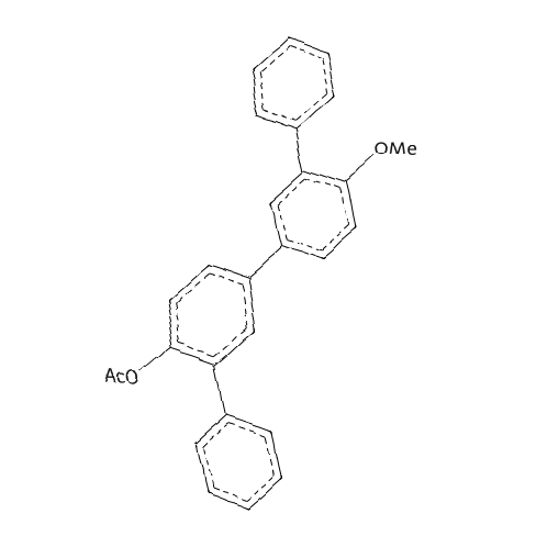 COc1ccc(-c2ccc(OC(C)=O)c(-c3ccccc3)c2)cc1-c1ccccc1